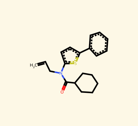 C=CCN(C(=O)C1CCCCC1)c1ccc(-c2ccccc2)s1